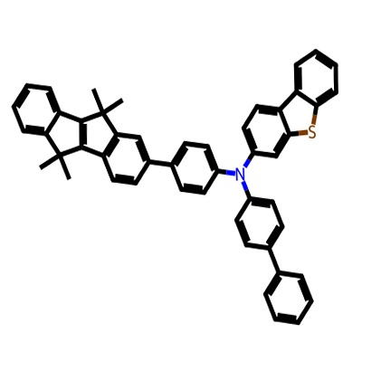 CC1(C)C2=C(c3ccccc31)C(C)(C)c1cc(-c3ccc(N(c4ccc(-c5ccccc5)cc4)c4ccc5c(c4)sc4ccccc45)cc3)ccc12